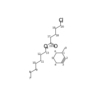 CC1C#CCCC1.CCCCCCCOC(=O)CCCCCl